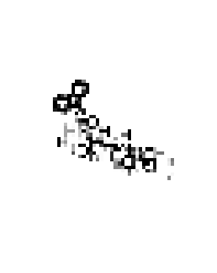 CC(C)(C)OC(=O)NCCCCC(C(N)=O)C(C)(C)NC(=O)OCC1c2ccccc2-c2ccccc21